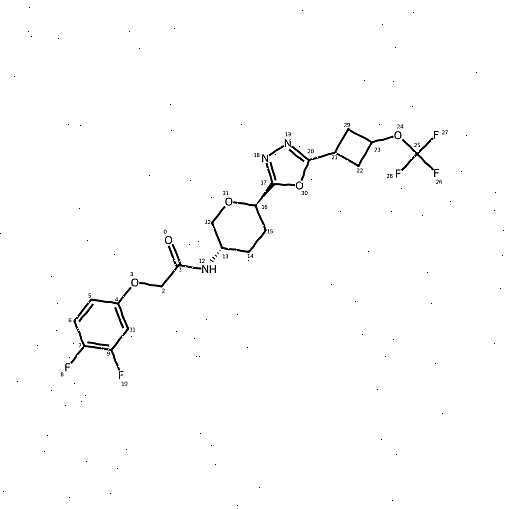 O=C(COc1ccc(F)c(F)c1)N[C@H]1CC[C@H](c2nnc(C3CC(OC(F)(F)F)C3)o2)OC1